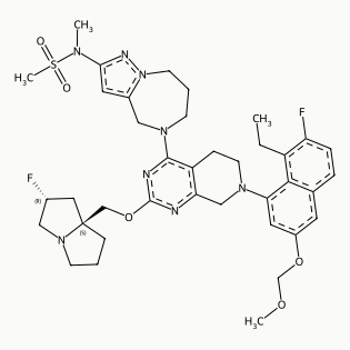 CCc1c(F)ccc2cc(OCOC)cc(N3CCc4c(nc(OC[C@@]56CCCN5C[C@H](F)C6)nc4N4CCCn5nc(N(C)S(C)(=O)=O)cc5C4)C3)c12